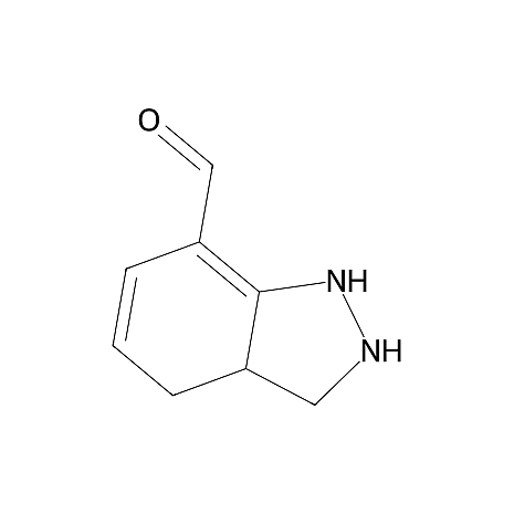 O=CC1=C2NNCC2CC=C1